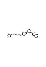 C1=C(c2cccc(N3CCC(CCCCCCC4CCCC4)CC3)c2)Cc2ccccc21